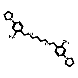 Cc1cc(N2CCCC2)ccc1CNCCCCNCc1ccc(N2CCCC2)cc1C